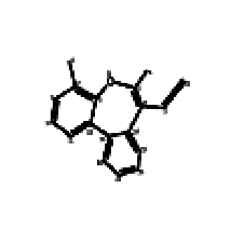 C=CC1=C(C)Oc2c(C)cccc2-c2ccccc21